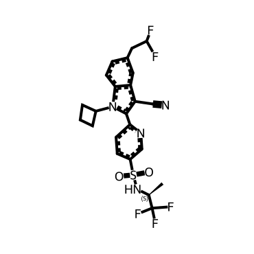 C[C@H](NS(=O)(=O)c1ccc(-c2c(C#N)c3cc(CC(F)F)ccc3n2C2CCC2)nc1)C(F)(F)F